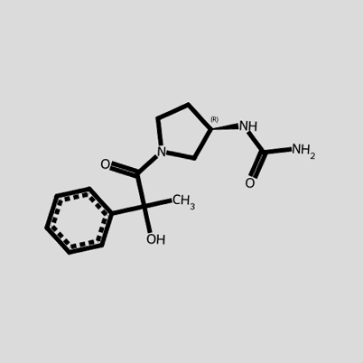 CC(O)(C(=O)N1CC[C@@H](NC(N)=O)C1)c1ccccc1